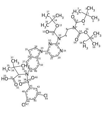 CC(C)(C)OC(=O)N(CCN(C(=O)OC(C)(C)C)c1nccc(-n2ccc3cc(N(C(C(=O)O)C(C)(C)C)S(=O)(=O)c4cc(Cl)cc(Cl)c4)ccc32)n1)C(=O)OC(C)(C)C